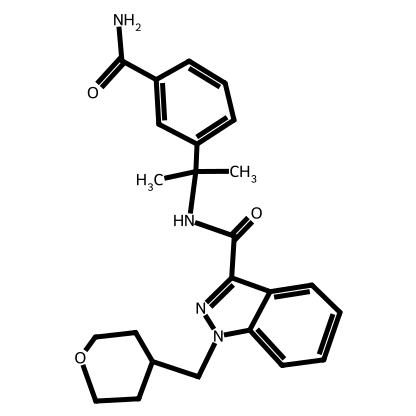 CC(C)(NC(=O)c1nn(CC2CCOCC2)c2ccccc12)c1cccc(C(N)=O)c1